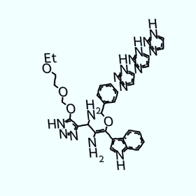 CCOCCOCOc1[nH]nnc1C(N)C(N)=C(OCc1ccccc1)c1c[nH]c2ccccc12.c1c[nH]nn1.c1c[nH]nn1.c1c[nH]nn1